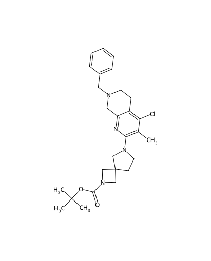 Cc1c(N2CCC3(CN(C(=O)OC(C)(C)C)C3)C2)nc2c(c1Cl)CCN(Cc1ccccc1)C2